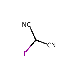 N#CC(I)C#N